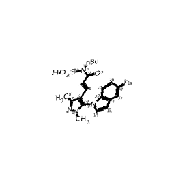 CCCCN(C(=O)/C=C/c1c(C)nn(C)c1-n1ccc2cc(F)ccc21)S(=O)(=O)O